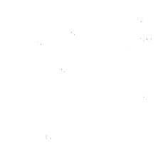 CNC1(CCN(C)C)C=CC(Nc2ncc(C(F)(F)F)c(-c3c[nH]c4cc(F)ccc34)n2)=CC1N